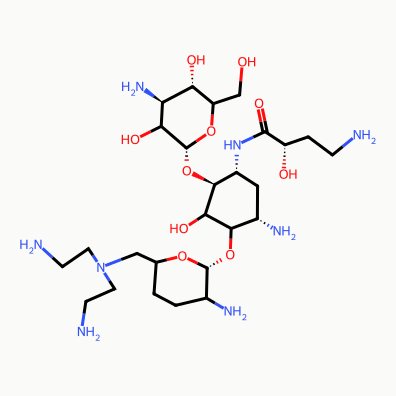 NCC[C@H](O)C(=O)N[C@@H]1C[C@H](N)C(O[C@H]2OC(CN(CCN)CCN)CCC2N)C(O)[C@H]1O[C@H]1OC(CO)[C@@H](O)[C@H](N)C1O